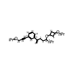 C=C(CCC(CCC)OC1CC(OC(C)C)C1)c1cccc(C#CCOC(C)C)c1